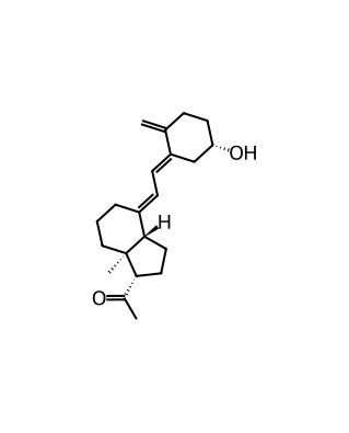 C=C1CC[C@H](O)CC1=C/C=C1\CCC[C@]2(C)[C@@H](C(C)=O)CC[C@@H]12